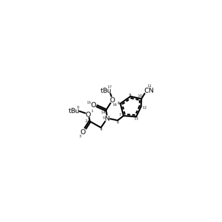 CC(C)(C)OC(=O)CN(Cc1ccc(C#N)cc1)C(=O)OC(C)(C)C